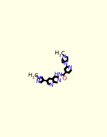 CN1CC2CC1CN2c1cc(C(=O)Nc2cc3cc(-c4cnn(C)c4)cnc3cn2)ccn1